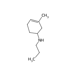 CCCNC1CCC=C(C)C1